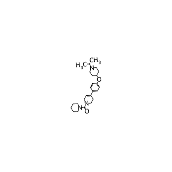 CC(C)N1CCC(Oc2ccc(C3=CCN(C(=O)N4CCCCC4)CC3)cc2)CC1